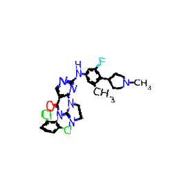 Cc1cc(Nc2ncc3c(n2)N2CCN=C2N(c2c(Cl)cccc2Cl)C3=O)cc(F)c1C1CCN(C)CC1